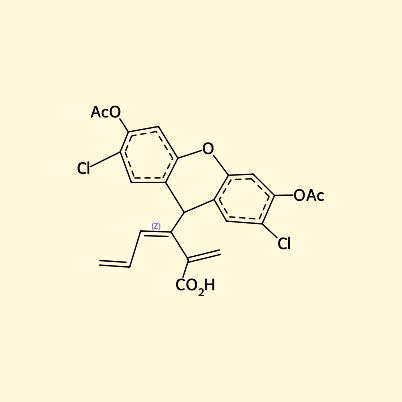 C=C/C=C(\C(=C)C(=O)O)C1c2cc(Cl)c(OC(C)=O)cc2Oc2cc(OC(C)=O)c(Cl)cc21